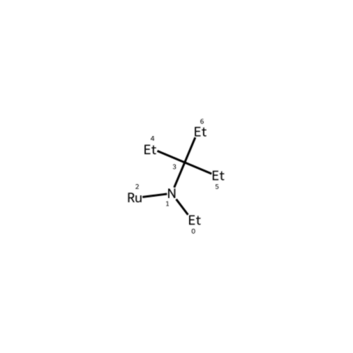 CC[N]([Ru])C(CC)(CC)CC